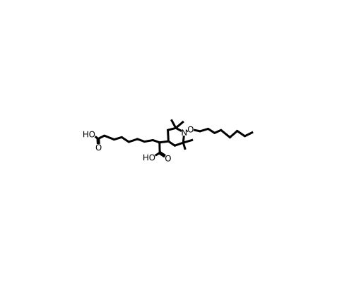 CCCCCCCCON1C(C)(C)CC(C(CCCCCCCC(=O)O)C(=O)O)CC1(C)C